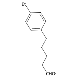 CCc1ccc(CCCC[C]=O)cc1